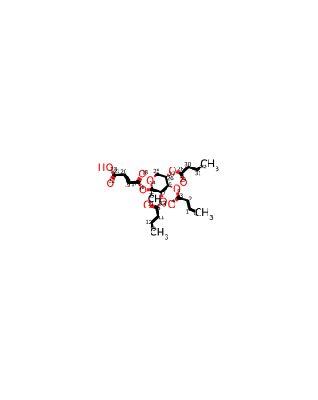 CCCC(=O)O[C@@H]1[C@@H](OC(=O)CCC)[C@@](C)(OC(=O)/C=C/C(=O)O)OC[C@H]1OC(=O)CCC